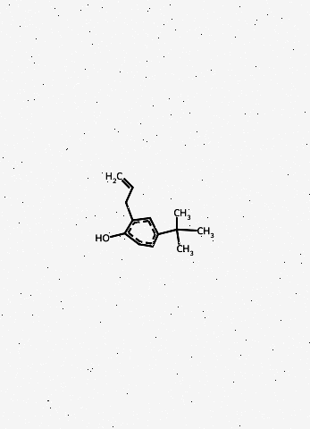 C=CCc1cc(C(C)(C)C)ccc1O